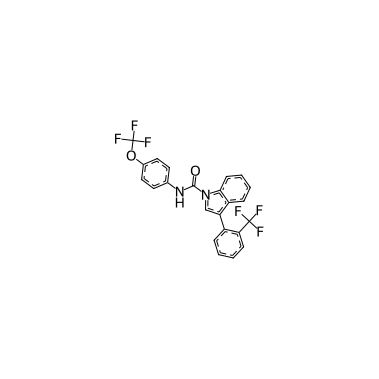 O=C(Nc1ccc(OC(F)(F)F)cc1)n1cc(-c2ccccc2C(F)(F)F)c2ccccc21